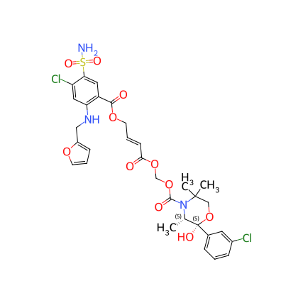 C[C@@H]1N(C(=O)OCOC(=O)C=CCOC(=O)c2cc(S(N)(=O)=O)c(Cl)cc2NCc2ccco2)C(C)(C)CO[C@@]1(O)c1cccc(Cl)c1